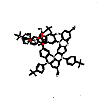 CSN1c2cc3c(cc2B2c4cc(C(C)(C)C)ccc4N(c4ccc(C(C)(C)C)cc4)c4cc(C#N)cc1c42)B1c2cc4c(cc2Oc2cc(C#N)cc(c21)O3)N(c1ccc(C(C)(C)C)cc1)c1cc(C#N)cc2c1B4c1cc(C(C)(C)C)ccc1N2c1ccc(C(C)(C)C)cc1